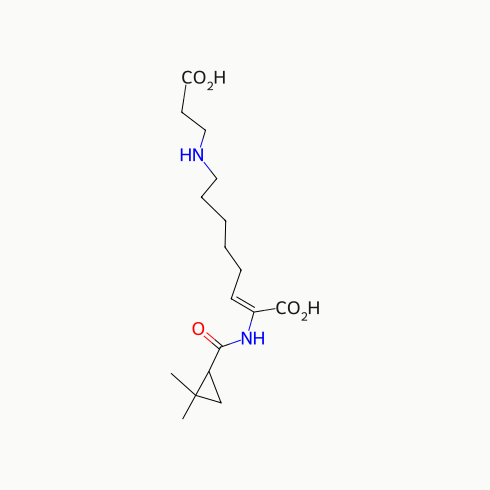 CC1(C)CC1C(=O)NC(=CCCCCCNCCC(=O)O)C(=O)O